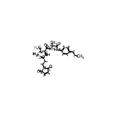 CCCc1ccc(NC(=O)[C@H](C)NC(=O)[C@@H](NC(=O)CCN2C(=O)C=CC2=O)C(C)C)cc1